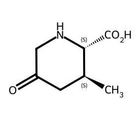 C[C@H]1CC(=O)CN[C@@H]1C(=O)O